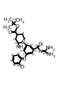 CC(C)(C)OC(=O)C1CCN(c2cc(Oc3ccccc3Cl)cc(C(=O)N=C(N)N)c2)C(N)C1